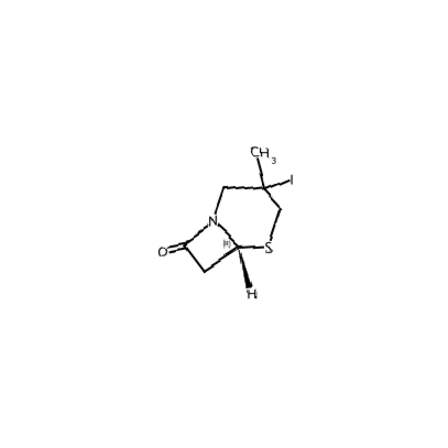 CC1(I)CS[C@@H]2CC(=O)N2C1